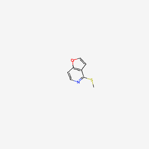 CSc1nccc2occc12